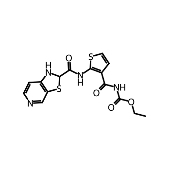 CCOC(=O)NC(=O)c1ccsc1NC(=O)C1Nc2ccncc2S1